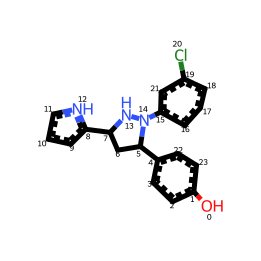 Oc1ccc(C2CC(c3ccc[nH]3)NN2c2cccc(Cl)c2)cc1